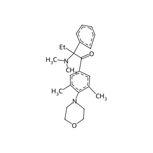 CCC(C(=O)c1cc(C)c(N2CCOCC2)c(C)c1)(c1ccccc1)N(C)C